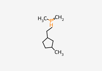 C=[PH](C)CCC1CCC(C)C1